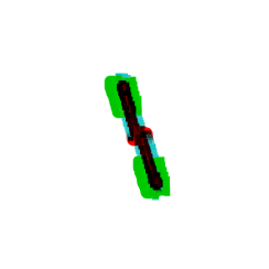 O=C(OOC(=O)C(F)(F)C(F)(F)C(F)(F)C(F)(F)C(F)(F)C(F)(F)C(F)(F)C(F)(F)C(F)(F)C(F)(F)C(F)(Cl)C(F)(Cl)C(F)(Cl)C(F)(Cl)C(F)(Cl)C(F)(Cl)C(F)(Cl)C(F)(Cl)C(F)(Cl)C(F)(Cl)C(F)(F)Cl)C(F)(F)C(F)(F)C(F)(F)C(F)(F)C(F)(F)C(F)(F)C(F)(F)C(F)(F)C(F)(F)C(F)(F)C(F)(Cl)C(F)(Cl)C(F)(Cl)C(F)(Cl)C(F)(Cl)C(F)(Cl)C(F)(Cl)C(F)(Cl)C(F)(Cl)C(F)(Cl)C(F)(F)Cl